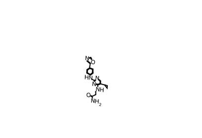 NC(=O)CCNc1nc(Nc2ccc(-c3cnco3)cc2)ncc1C1CC1